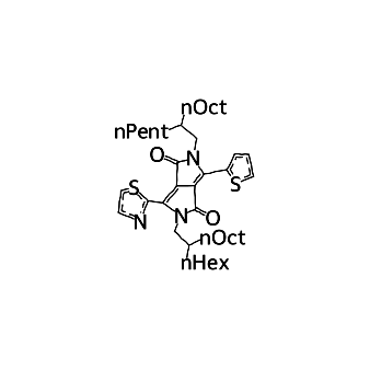 CCCCCCCCC(CCCCC)CN1C(=O)C2=C(c3nccs3)N(CC(CCCCCC)CCCCCCCC)C(=O)C2=C1c1cccs1